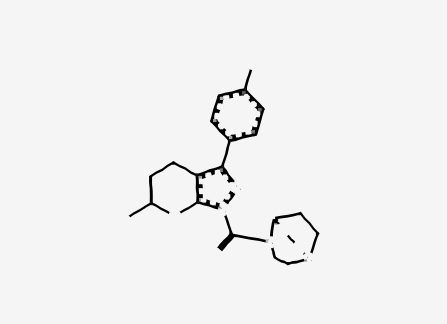 CC1CCc2c(-c3ccc(F)cc3)nn(C(=O)N3CCN4CCC3CC4)c2O1